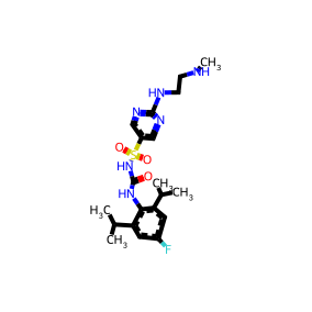 CNCCNc1ncc(S(=O)(=O)NC(=O)Nc2c(C(C)C)cc(F)cc2C(C)C)cn1